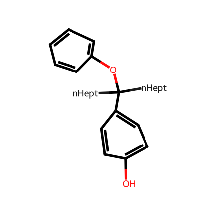 CCCCCCCC(CCCCCCC)(Oc1ccccc1)c1ccc(O)cc1